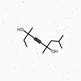 CCC(C)(O)C#CC(C)(O)CC(C)C